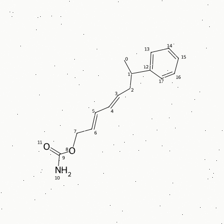 CC(CC=CC=CCOC(N)=O)c1ccccc1